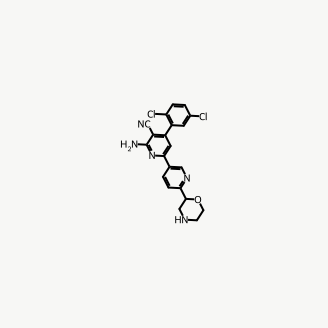 N#Cc1c(-c2cc(Cl)ccc2Cl)cc(-c2ccc(C3CNCCO3)nc2)nc1N